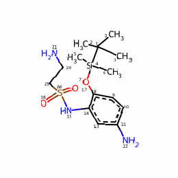 CC(C)(C)[Si](C)(C)Oc1ccc(N)cc1NS(=O)(=O)CCN